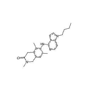 CCCCn1ccc2c(Nc3c(C)cc4c(c3C)CC(=O)N(C)C4)nccc21